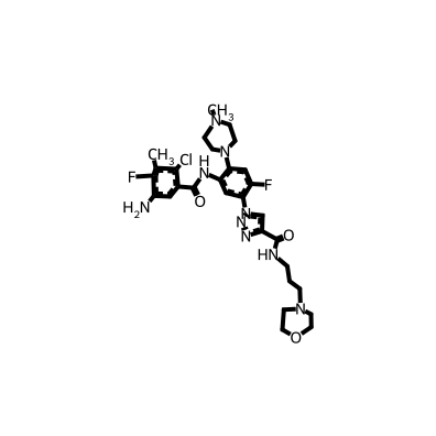 Cc1c(F)c(N)cc(C(=O)Nc2cc(-n3cc(C(=O)NCCCN4CCOCC4)nn3)c(F)cc2N2CCN(C)CC2)c1Cl